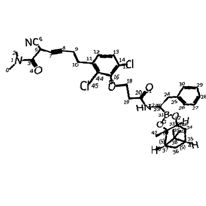 CN(C)C(=O)C(C#N)C#CCCc1ccc(Cl)c(OCCC(=O)N[C@@H](Cc2ccccc2)B2O[C@@H]3C[C@@H]4C[C@@H](C4(C)C)[C@]3(C)O2)c1Cl